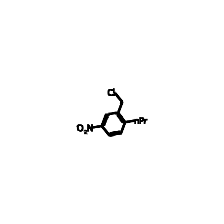 CCCc1ccc([N+](=O)[O-])cc1CCl